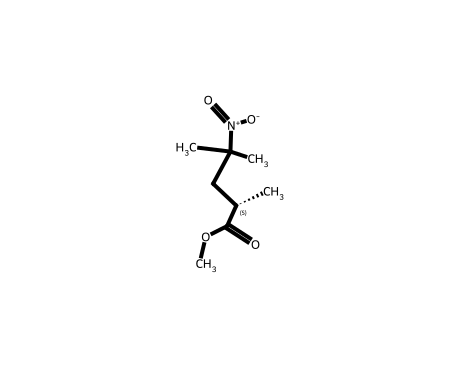 COC(=O)[C@@H](C)CC(C)(C)[N+](=O)[O-]